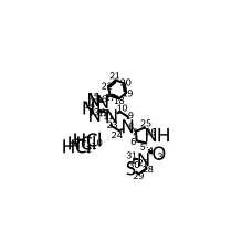 Cl.Cl.Cl.O=C([C@@H]1C[C@H](N2CCN(c3nnnn3-c3ccccc3)CC2)CN1)N1CCSC1